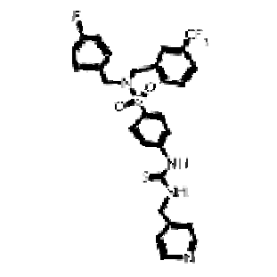 O=S(=O)(c1ccc(NC(=S)NCc2ccncc2)cc1)N(Cc1ccc(F)cc1)Cc1cccc(C(F)(F)F)c1